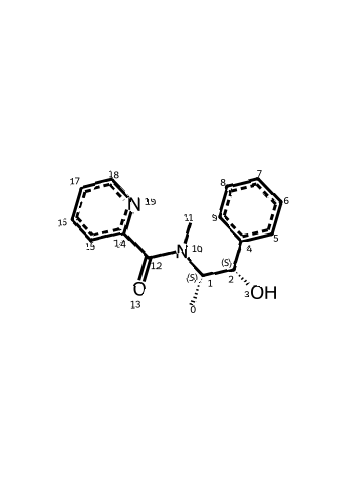 C[C@@H]([C@@H](O)c1ccccc1)N(C)C(=O)c1ccccn1